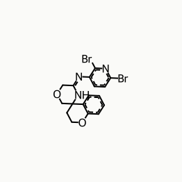 Brc1ccc(/N=C2/COCC3(CCOc4ccccc43)N2)c(Br)n1